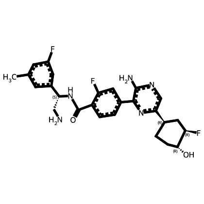 Cc1cc(F)cc([C@@H](CN)NC(=O)c2ccc(-c3nc([C@@H]4CC[C@@H](O)[C@H](F)C4)cnc3N)cc2F)c1